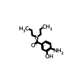 CCCN(CCC)C(=O)c1ccc(N)c(O)c1